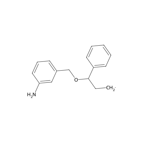 [CH2]CC(OCc1cccc(N)c1)c1ccccc1